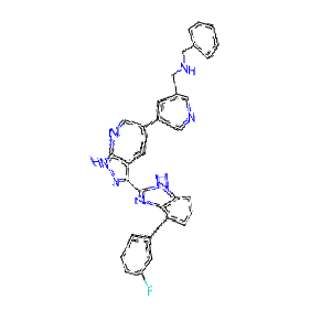 Fc1cccc(-c2cccc3[nH]c(-c4n[nH]c5ncc(-c6cncc(CNCc7ccccc7)c6)cc45)nc23)c1